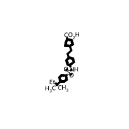 CCC(C)(C)c1ccc(S(=O)(=O)Nc2ccc(CCc3ccc(C(=O)O)cc3)cc2)cc1